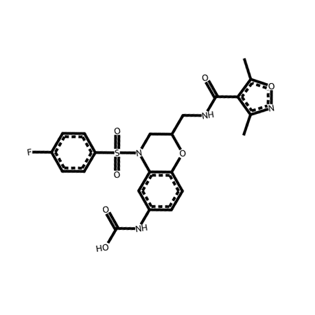 Cc1noc(C)c1C(=O)NCC1CN(S(=O)(=O)c2ccc(F)cc2)c2cc(NC(=O)O)ccc2O1